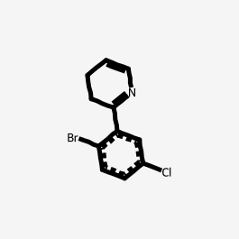 Clc1ccc(Br)c(C2=NC=CCC2)c1